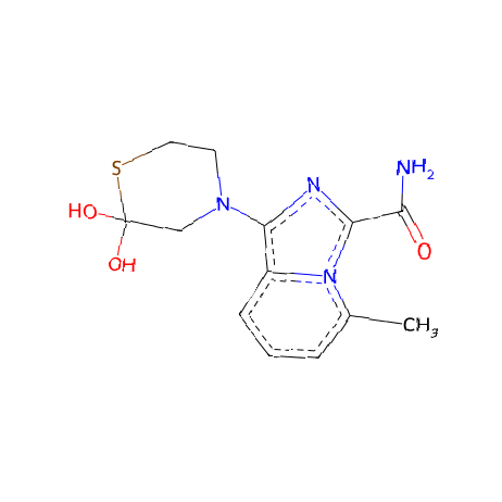 Cc1cccc2c(N3CCSC(O)(O)C3)nc(C(N)=O)n12